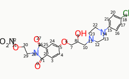 O=C1c2ccc(OCC(O)CN3CCN(c4ccc(Cl)cc4)CC3)cc2C(=O)N1CCO[N+](=O)[O-]